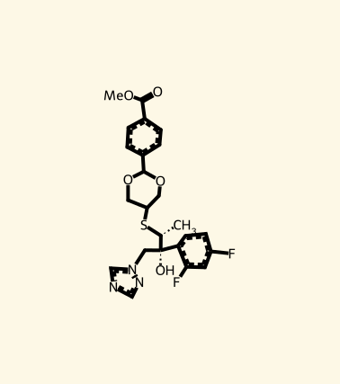 COC(=O)c1ccc(C2OCC(S[C@H](C)[C@](O)(Cn3cncn3)c3ccc(F)cc3F)CO2)cc1